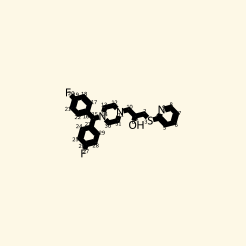 OC(CSc1ccccn1)CN1CCN(C(c2ccc(F)cc2)c2ccc(F)cc2)CC1